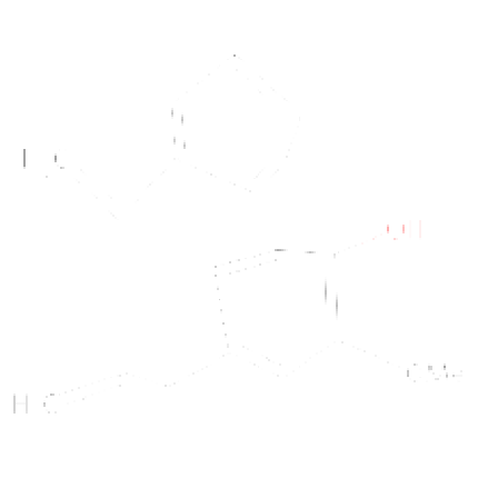 C=CCc1ccc(O)c(OC)c1.C=Cc1ccccc1